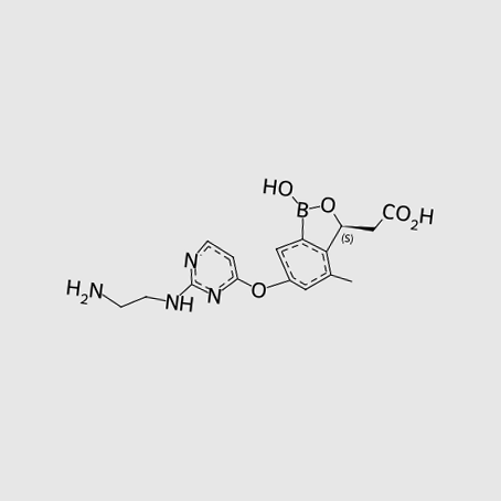 Cc1cc(Oc2ccnc(NCCN)n2)cc2c1[C@H](CC(=O)O)OB2O